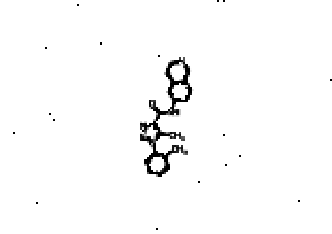 Cc1ccccc1-n1nnc(C(=O)Nc2ccc3cnccc3c2)c1C